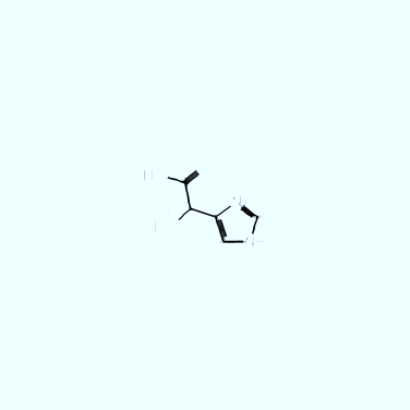 O=C(O)C(O)c1c[nH]cn1